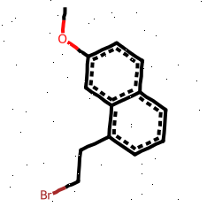 COc1ccc2cccc(CCBr)c2c1